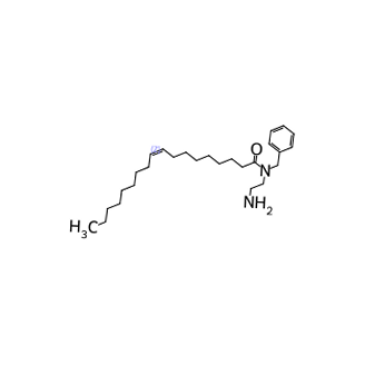 CCCCCCCC/C=C\CCCCCCCC(=O)N(CCN)Cc1ccccc1